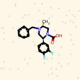 C[C@@H]1CN(C(=O)O)[C@@H](c2ccc(F)c(F)c2)CN1Cc1ccccc1